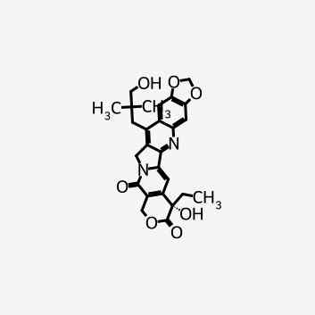 CC[C@@]1(O)C(=O)OCc2c1cc1n(c2=O)Cc2c-1nc1cc3c(cc1c2CC(C)(C)CO)OCO3